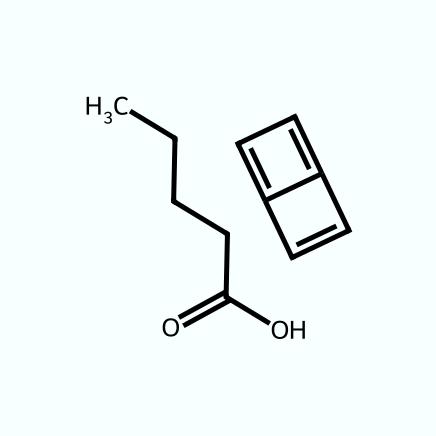 CCCCC(=O)O.c1cc2ccc1-2